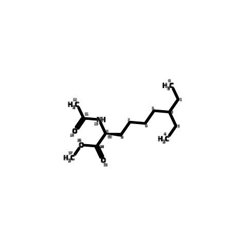 CCC(CC)CCCC[C@H](NC(C)=O)C(=O)OC